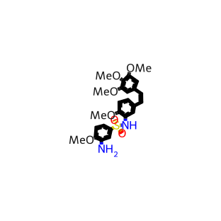 COc1ccc(S(=O)(=O)Nc2cc(/C=C\c3cc(OC)c(OC)c(OC)c3)ccc2OC)cc1N